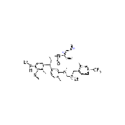 C=C/C(=C\C=C/C)NC(=O)C(C)C(c1ccc(C)c(N(C)C[C@@H](CC)Cc2ccc(C(F)(F)F)cc2C)c1)c1ccc(PCC)c(N=C)c1C